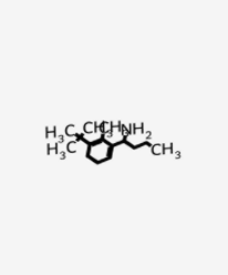 CCCC(N)C1=CCCC(C(C)(C)C)=C1C